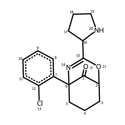 O=C1C2CCCC1(c1ccccc1Cl)N=C(C1CCCN1)O2